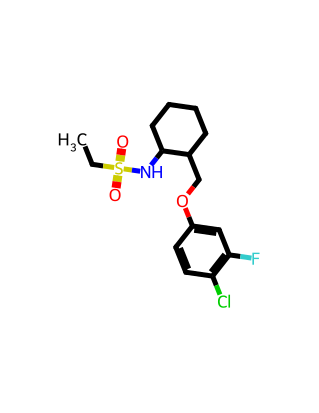 CCS(=O)(=O)NC1CCCCC1COc1ccc(Cl)c(F)c1